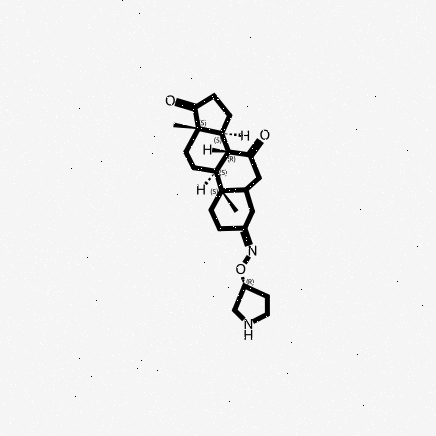 C[C@]12CCC(=NO[C@@H]3CCNC3)CC1CC(=O)[C@@H]1[C@@H]2CC[C@]2(C)C(=O)CC[C@@H]12